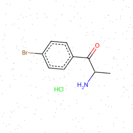 CC(N)C(=O)c1ccc(Br)cc1.Cl